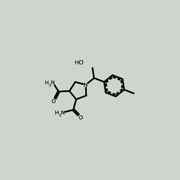 Cc1ccc(C(C)N2CC(C(N)=O)C(C(N)=O)C2)cc1.Cl